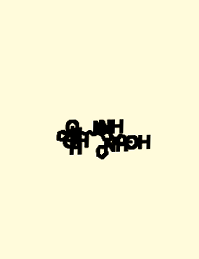 O=C(NCCCCc1n[nH]c2cc(-c3ccc(O)cc3)c(Nc3ccccc3)cc12)c1ccccc1O